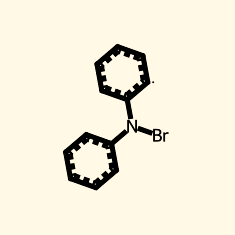 BrN(c1[c]cccc1)c1ccccc1